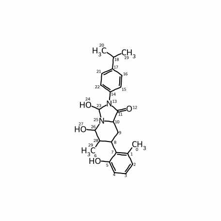 Cc1cccc(O)c1C1CC2C(=O)N(c3ccc(C(C)C)cc3)C(O)N2C(O)C1C